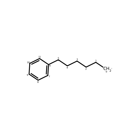 [CH2]CCCC[CH]c1ccccc1